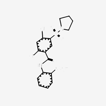 O=C(Nc1ccccc1C(=O)O)c1cc(S(=O)(=O)N2CCCC2)c(Cl)cc1Cl